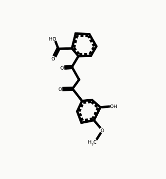 COc1ccc(C(=O)CC(=O)c2ccccc2C(=O)O)cc1O